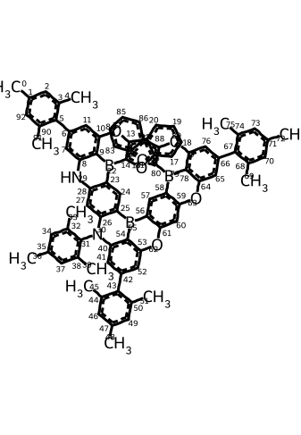 Cc1cc(C)c(-c2cc3c4c(c2)Oc2c(oc5ccccc25)B4c2cc4c(cc2N3)N(c2c(C)cc(C)cc2C)c2cc(-c3c(C)cc(C)cc3C)cc3c2B4c2cc4c(cc2O3)Oc2cc(-c3c(C)cc(C)cc3C)cc3c2B4c2oc4ccccc4c2O3)c(C)c1